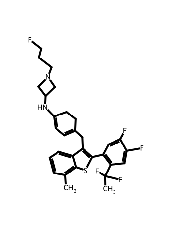 Cc1cccc2c(CC3=CC=C(NC4CN(CCCF)C4)CC3)c(-c3cc(F)c(F)cc3C(C)(F)F)sc12